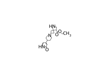 CCOC(=O)C1CNCC12CC(N1CCC(c3cc[nH]c(=O)c3)CC1)C2